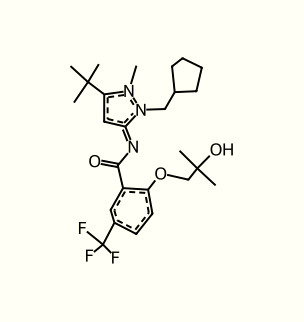 Cn1c(C(C)(C)C)c/c(=N\C(=O)c2cc(C(F)(F)F)ccc2OCC(C)(C)O)n1CC1CCCC1